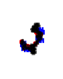 COc1ncc(S(=O)(=O)NC(=O)Nc2c3c(cc4c2CCC4COCCNc2ncc(S(=O)(=O)NC(=O)Nc4c5c(cc6c4CCC6)CCC5)cn2)CCC3)cn1